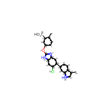 Cc1ccc(Oc2nc3cc(-c4ccc5c(C)c[nH]c5c4)c(Cl)cc3[nH]2)cc1C(=O)O